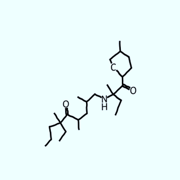 CCCC(C)(CC)C(=O)C(C)CC(C)CNC(C)(CC)C(=O)C1CCC(C)CC1